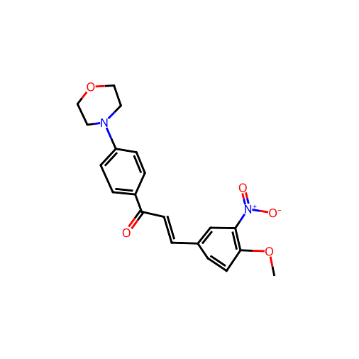 COc1ccc(/C=C/C(=O)c2ccc(N3CCOCC3)cc2)cc1[N+](=O)[O-]